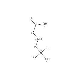 CC(O)CNCC(C)(C)O